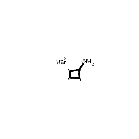 Br.NC1CCC1